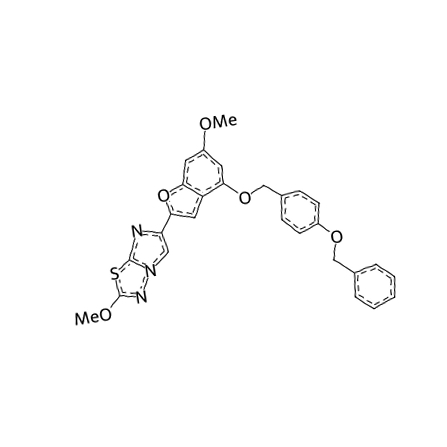 COc1cc(OCc2ccc(OCc3ccccc3)cc2)c2cc(-c3cn4nc(OC)sc4n3)oc2c1